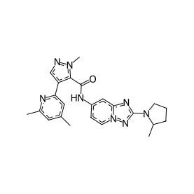 Cc1cc(C)nc(-c2cnn(C)c2C(=O)Nc2ccn3nc(N4CCCC4C)nc3c2)c1